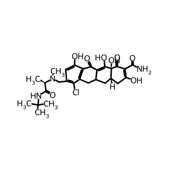 C[C@H](C(=O)NC(C)(C)C)N(C)Cc1cc(O)c2c(c1Cl)CC1C[C@H]3CC(O)=C(C(N)=O)C(=O)[C@@]3(O)C(O)=C1C2=O